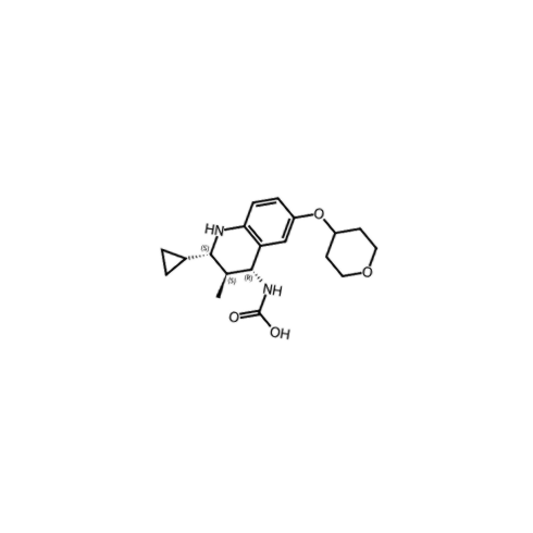 C[C@@H]1[C@@H](NC(=O)O)c2cc(OC3CCOCC3)ccc2N[C@H]1C1CC1